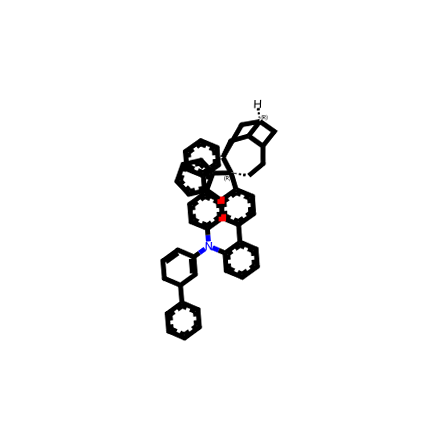 C1=CC(N(c2ccc(-c3ccccc3)cc2)c2ccccc2-c2ccc3c(c2)-c2ccccc2[C@]32CCC3C[C@@H]4CC2CC34)=CC(c2ccccc2)C1